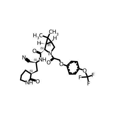 CC1(C)[C@@H]2[C@@H](C(=O)N[C@H](C#N)C[C@@H]3CCCNC3=O)N(C(=O)COc3ccc(OC(F)(F)F)cc3)C[C@@H]21